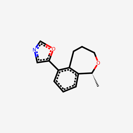 C[C@H]1OCCCc2c(-c3cnco3)cccc21